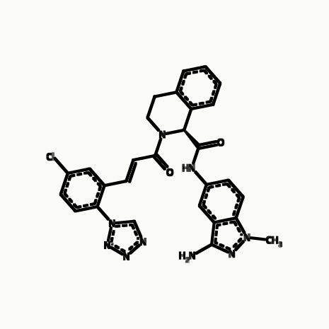 Cn1nc(N)c2cc(NC(=O)[C@@H]3c4ccccc4CCN3C(=O)C=Cc3cc(Cl)ccc3-n3cnnn3)ccc21